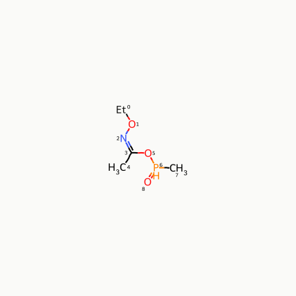 CCON=C(C)O[PH](C)=O